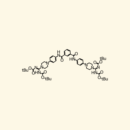 CC(C)(C)OC(=O)/N=C(/NC(=O)OC(C)(C)C)N1CCN(c2ccc(NC(=O)c3cccc(C(=O)Nc4ccc(N5CCN(/C(=N/C(=O)OC(C)(C)C)NC(=O)OC(C)(C)C)CC5)cc4)c3)cc2)CC1